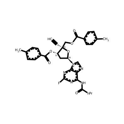 C#C[C@]1(COC(=O)c2ccc(C)cc2)O[C@@H](n2cnc3c(NC(=O)CCC)nc(F)nc32)C[C@@H]1OC(=O)c1ccc(C)cc1